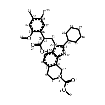 COC(=O)N1CCc2ccc3c(nc(C4CCCCC4)n3C[C@@H](C(=O)O)c3cc(F)c(C)cc3OC)c2C1